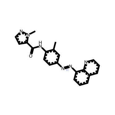 Cc1cc(/N=N/c2cccc3cccnc23)ccc1NC(=O)c1ccnn1C